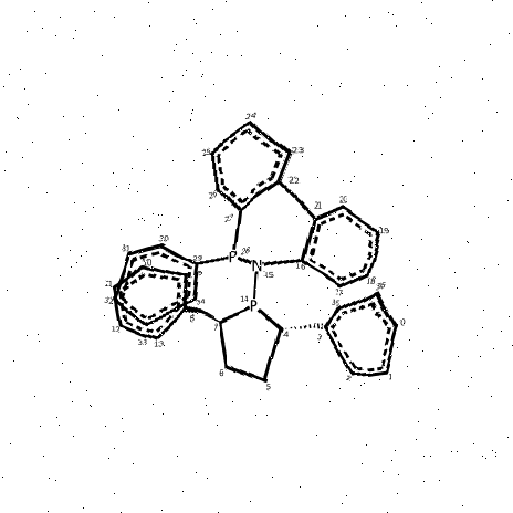 c1ccc([C@@H]2CC[C@@H](c3ccccc3)P2N2c3ccccc3-c3ccccc3P2c2ccccc2)cc1